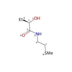 CC[C@@H](O)C(=O)NCCSC